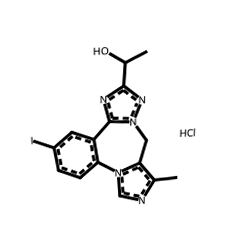 Cc1ncn2c1Cn1nc(C(C)O)nc1-c1cc(I)ccc1-2.Cl